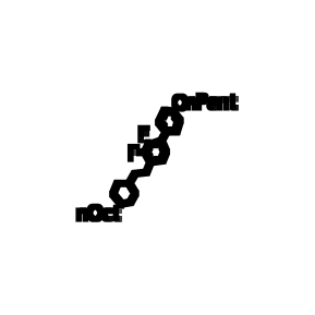 CCCCCCCCC1CCC(CCc2ccc(-c3ccc(OCCCCC)cc3)c(F)c2F)CC1